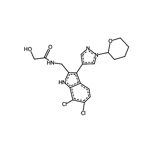 O=C(CO)NCc1[nH]c2c(Cl)c(Cl)ccc2c1-c1cnn(C2CCCCO2)c1